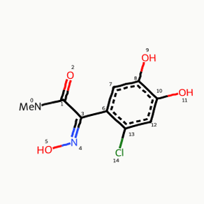 CNC(=O)C(=NO)c1cc(O)c(O)cc1Cl